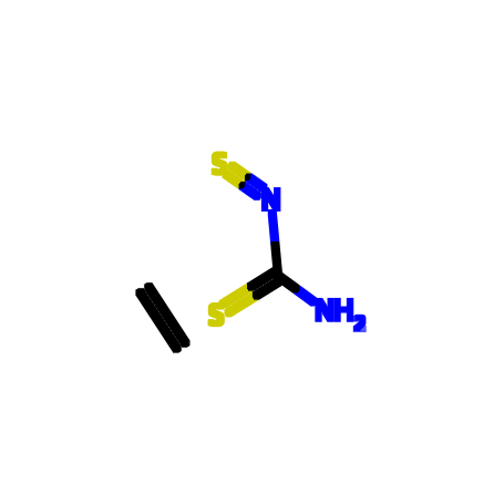 C=C.NC(=S)N=S